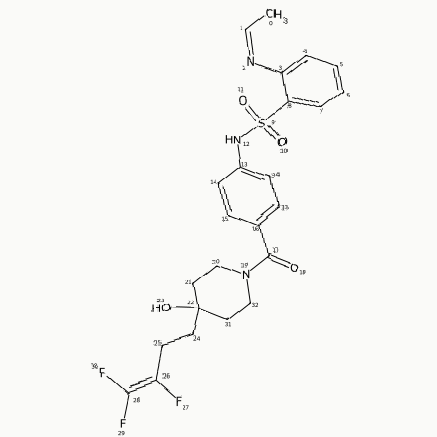 C/C=N\c1ccccc1S(=O)(=O)Nc1ccc(C(=O)N2CCC(O)(CCC(F)=C(F)F)CC2)cc1